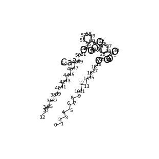 CCCCCCCCCCCCCCCCCCCCOC(=O)c1ccccc1C(=O)[O-].CCCCCCCCCCCCCCCCCCCCOC(=O)c1ccccc1C(=O)[O-].[Ca+2]